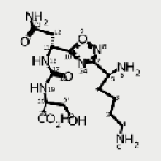 NCCCC[C@H](N)c1noc([C@@H](CC(N)=O)NC(=O)N[C@@H](CO)C(=O)O)n1